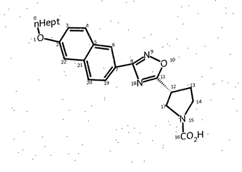 CCCCCCCOc1ccc2cc(-c3noc([C@@H]4CCN(C(=O)O)C4)n3)ccc2c1